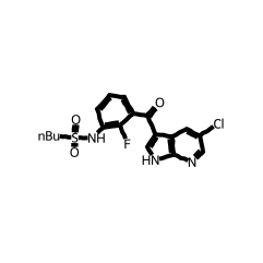 CCCCS(=O)(=O)Nc1cccc(C(=O)c2c[nH]c3ncc(Cl)cc23)c1F